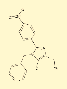 O=[N+]([O-])c1ccc(-c2nc(CO)c(Cl)n2Cc2ccccc2)cc1